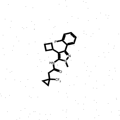 Cn1nc(-c2ccccc2F)c(C2CCC2)c1NC(=O)CC1(C(F)(F)F)CC1